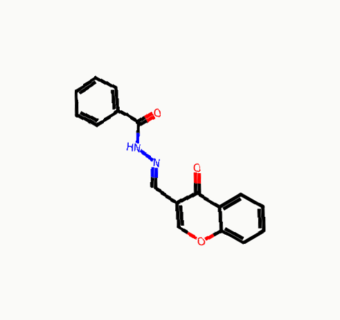 O=C(NN=Cc1coc2ccccc2c1=O)c1ccccc1